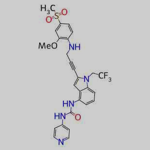 COc1cc(S(C)(=O)=O)ccc1NCC#Cc1cc2c(NC(=O)Nc3ccncc3)cccc2n1CC(F)(F)F